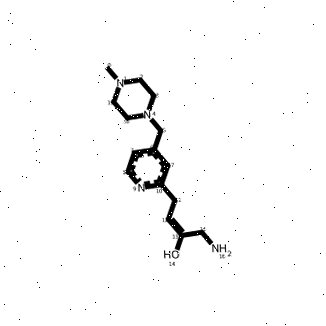 CN1CCN(Cc2ccnc(C/C=C(/O)CN)c2)CC1